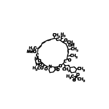 CO[C@H]1C[C@@H]2CC[C@@H](C)[C@@](O)(O2)C(=O)C(=O)N2CCCC[C@H]2C(=O)O[C@H](C(C)C[C@@H]2CC[C@@H](OP(C)(C)=O)[C@H](C)C2)CC(=O)[C@H](C)/C=C(\C)[C@@H](O)[C@@H](C)C(=O)[C@H](C)C[C@H](C)/C=C/C=C/C=C/1C